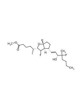 CCCCC(C)(F)[C@H](O)/C=C/[C@H]1CC[C@H]2O[C@@H](C(I)CCCC(=O)OC)C(F)[C@H]12